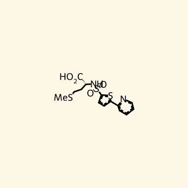 CSCC[C@@H](NS(=O)(=O)c1ccc(-c2ccccn2)s1)C(=O)O